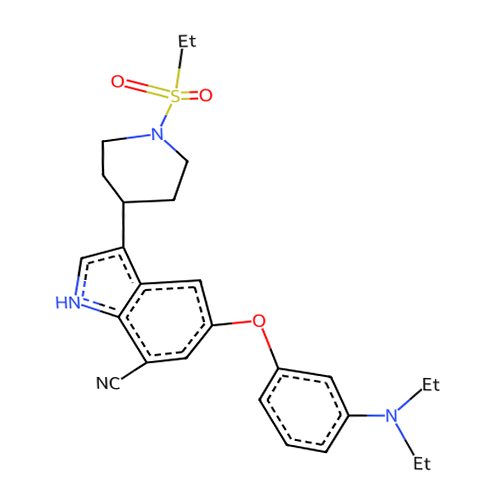 CCN(CC)c1cccc(Oc2cc(C#N)c3[nH]cc(C4CCN(S(=O)(=O)CC)CC4)c3c2)c1